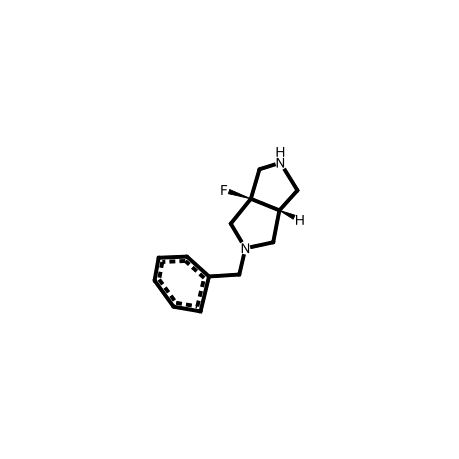 F[C@@]12CNC[C@@H]1CN(Cc1ccccc1)C2